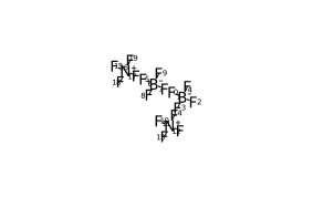 F[B-](F)(F)F.F[B-](F)(F)F.F[N+](F)(F)F.F[N+](F)(F)F